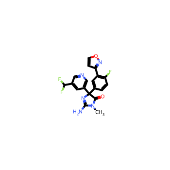 CN1C(=O)C(c2cncc(C(F)F)c2)(c2ccc(F)c(-c3ccon3)c2)N=C1N